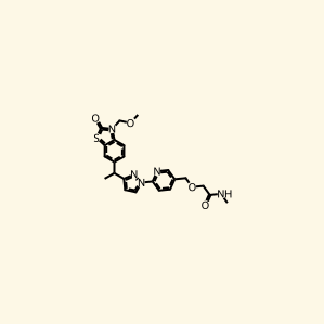 CNC(=O)COCc1ccc(-n2ccc(C(C)c3ccc4c(c3)sc(=O)n4COC)n2)nc1